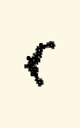 Cc1cc2cc(C(=O)OCCCc3ccccc3)ccc2cc1C(C)(C)C(=N)/C=C1/C(=O)C(/C=C2/Nc3ccc4c(C(=O)OCCCc5ccccc5)cccc4c3C2(C)C)=C1O